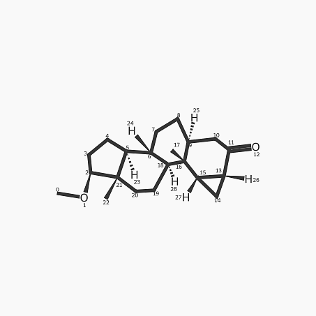 CO[C@H]1CC[C@H]2[C@@H]3CC[C@H]4CC(=O)[C@@H]5C[C@@H]5[C@]4(C)[C@H]3CC[C@]12C